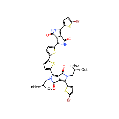 CCCCCCCCC(CCCCCC)CN1C(=O)C2=C(c3ccc(-c4ccc(C5=C6C(=O)NC(c7ccc(Br)s7)=C6C(=O)N5)s4)s3)N(CC(CCCCCC)CCCCCCCC)C(=O)C2=C1c1ccc(Br)s1